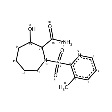 Cc1cccnc1S(=O)(=O)N1CCC[CH]C(O)C1C(N)=O